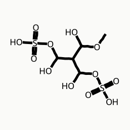 COC(O)C(C(O)OS(=O)(=O)O)C(O)OS(=O)(=O)O